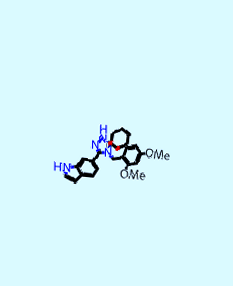 COc1ccc(CN2C(c3ccc4cc[nH]c4c3)=NN[C@]23CC2CCC3CC2)c(OC)c1